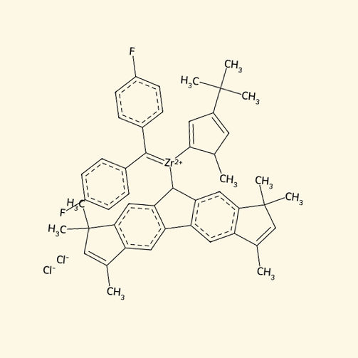 CC1=CC(C)(C)c2cc3c(cc21)-c1cc2c(cc1[CH]3[Zr+2]([C]1=CC(C(C)(C)C)=CC1C)=[C](c1ccc(F)cc1)c1ccc(F)cc1)C(C)(C)C=C2C.[Cl-].[Cl-]